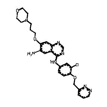 Nc1cc2c(Nc3ccc(OCc4cccnn4)c(Cl)c3)ncnc2cc1OCCCN1CCOCC1